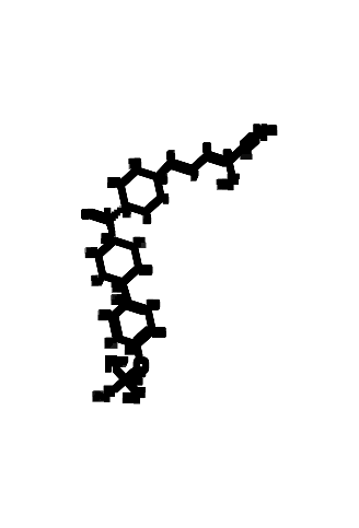 C=C([C@H]1CC[C@H](/C=C/C=C(\F)C#N)CC1)[C@H]1CC[C@H](c2ccc(OC(F)(F)F)cc2)CC1